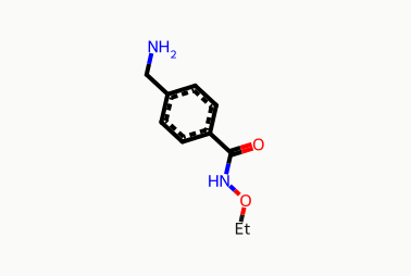 CCONC(=O)c1ccc(CN)cc1